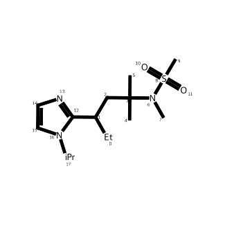 CCC(CC(C)(C)N(C)S(C)(=O)=O)c1nccn1C(C)C